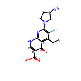 CCc1c(F)c(N2CCC(N)C2)nc2[nH]cc(C(=O)O)c(=O)c12